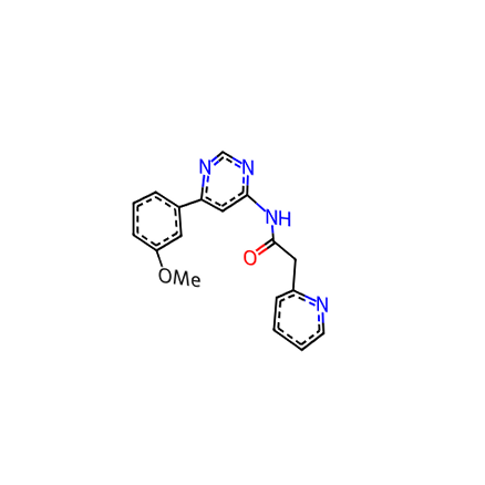 COc1cccc(-c2cc(NC(=O)Cc3ccccn3)ncn2)c1